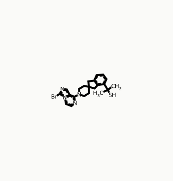 CC(C)(S)c1cccc2c1CC1(CCN(c3nccn4c(Br)ncc34)CC1)C2